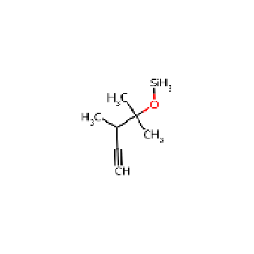 C#CC(C)C(C)(C)O[SiH3]